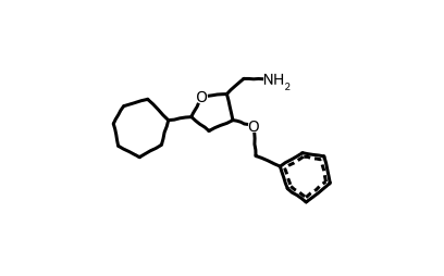 NCC1OC(C2CCCCCC2)CC1OCc1ccccc1